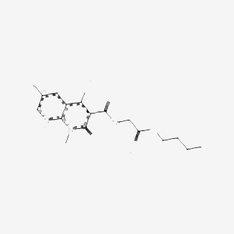 CCCCOC(=O)CNC(=O)c1c(O)c2cc(I)cnc2n(C)c1=O